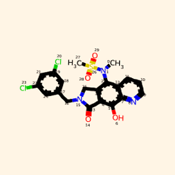 CN(c1c2c(c(O)c3ncccc13)C(=O)N(Cc1cc(Cl)cc(Cl)c1)C2)S(C)(=O)=O